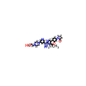 CC1(C)Oc2cc(N3CCCC3=O)ccc2-c2cnc(Nc3cncc(N4CCN(CCO)CC4)c3)nc21